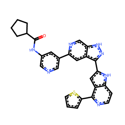 O=C(Nc1cncc(-c2cc3c(-c4cc5c(-c6cccs6)nccc5[nH]4)n[nH]c3cn2)c1)C1CCCC1